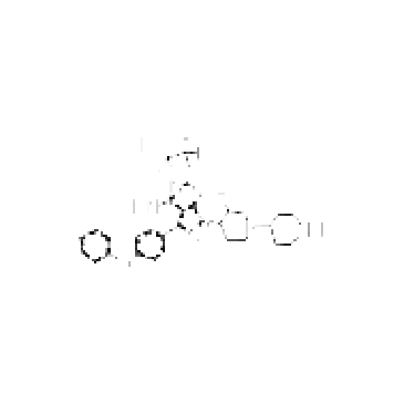 Nc1ncnc2c1c(-c1ccc(Oc3ccccc3)cc1)nn2C1CCN(C2CCNCC2)CC1F.O=C(O)C(F)(F)F